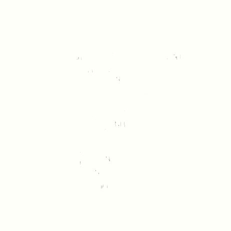 CC(C)n1nc(C(=O)N[C@H]2CC[C@@H](CC(C)(C)O)N(C(=O)OC(C)(C)C)C2)c2ccccc21